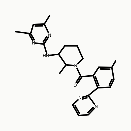 Cc1ccc(-c2ncccn2)c(C(=O)N2CCCC(Nc3nc(C)cc(C)n3)C2C)c1